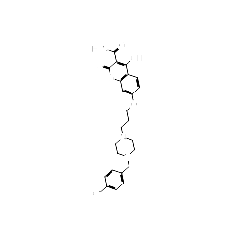 Cc1c(C(N)=O)c(=O)oc2cc(OCCCN3CCN(Cc4ccc(Cl)cc4)CC3)ccc12